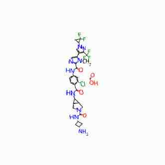 Cn1c(-c2cn(C3CC3(F)F)nc2C(F)(F)F)cnc1C(=O)Nc1ccc(C(=O)NC2C3CN(C(=O)N[C@H]4C[C@@H](N)C4)CC32)c(Cl)c1.O=CO